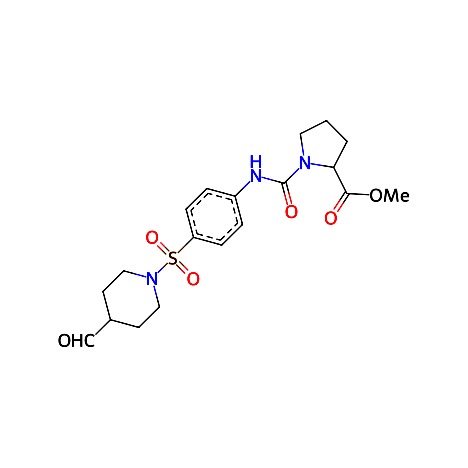 COC(=O)C1CCCN1C(=O)Nc1ccc(S(=O)(=O)N2CCC(C=O)CC2)cc1